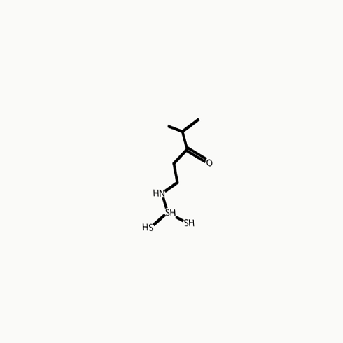 CC(C)C(=O)CCN[SH](S)S